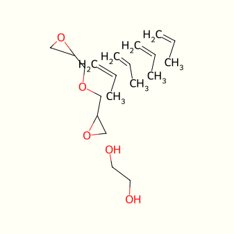 C(OCC1CO1)C1CO1.C=CC.C=CC.C=CC.C=CC.OCCO